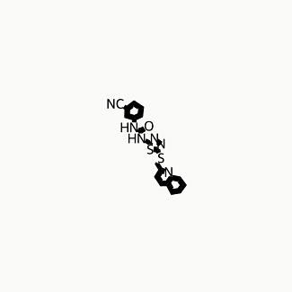 N#Cc1cccc(NC(=O)Nc2nnc(SCc3ccc4ccccc4n3)s2)c1